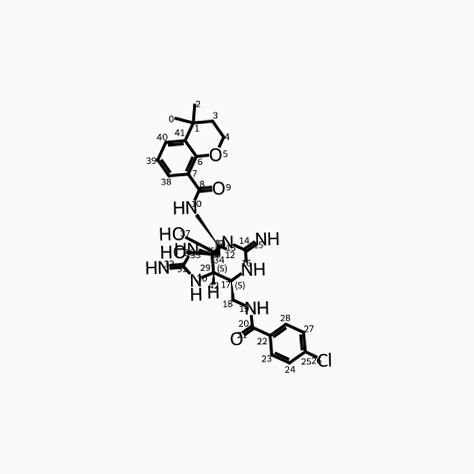 CC1(C)CCOc2c(C(=O)N[C@H]3CN4C(=N)N[C@@H](CNC(=O)c5ccc(Cl)cc5)[C@@H]5NC(=N)N[C@@]54C3(O)O)cccc21